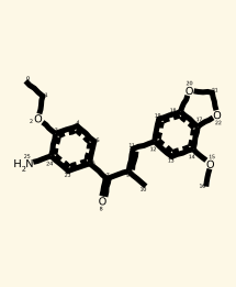 CCOc1ccc(C(=O)/C(C)=C/c2cc(OC)c3c(c2)OCO3)cc1N